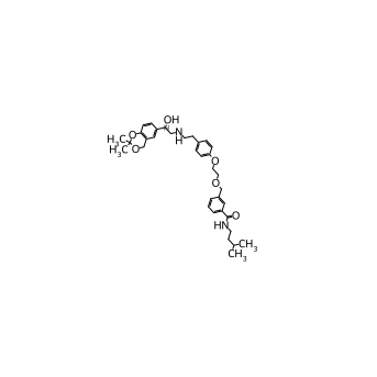 CC(C)CCNC(=O)c1cccc(COCCOc2ccc(CCNC[C@@H](O)c3ccc4c(c3)COC(C)(C)O4)cc2)c1